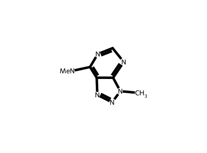 CNc1ncnc2c1nnn2C